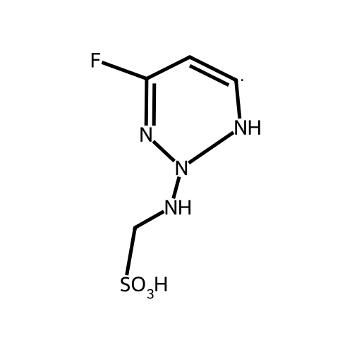 O=S(=O)(O)CNN1N=C(F)C=[C]N1